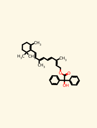 CC(C=CC1=C(C)CCCC1(C)C)=CC=CC(C)=CCOC(=O)C(O)(c1ccccc1)c1ccccc1